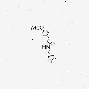 COc1ccc(CCC(=O)NCCc2cc(C)c(C)s2)cc1